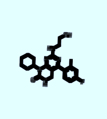 Cc1cc(F)ccc1-c1nc(NCCO)nc2c1CNC(=O)N2C1CCCCC1